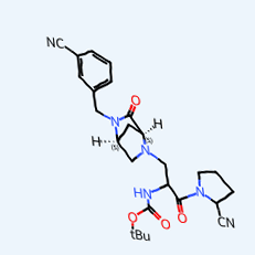 CC(C)(C)OC(=O)NC(CN1C[C@@H]2C[C@H]1C(=O)N2Cc1cccc(C#N)c1)C(=O)N1CCCC1C#N